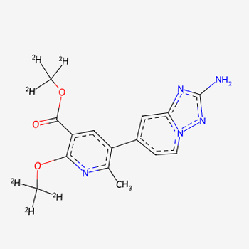 [2H]C([2H])([2H])OC(=O)c1cc(-c2ccn3nc(N)nc3c2)c(C)nc1OC([2H])([2H])[2H]